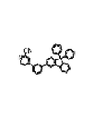 N#Cc1cc(-c2cccc(-c3ccc4c(c3)-c3ccccc3C4(c3ccccc3)c3ccccc3)c2)ccn1